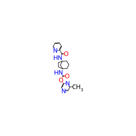 Cc1cncc(OC(=O)N[C@]23CCC[C@](NC(=O)c4ccccn4)(CC2)C3)n1